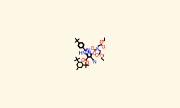 CCOC(=O)CN(CC(=O)OCC)C(=O)Oc1c(C#N)c(C(=O)OC2C(C(C)(C)C)CC(C)CC2C(C)(C)C)c2[nH]c(-c3ccc(C(C)(C)C)cc3)nn12